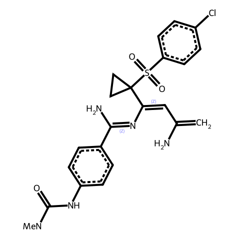 C=C(N)/C=C(\N=C(/N)c1ccc(NC(=O)NC)cc1)C1(S(=O)(=O)c2ccc(Cl)cc2)CC1